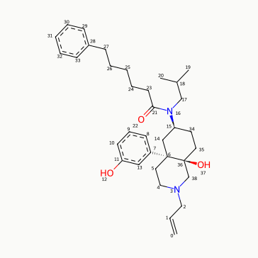 C=CCN1CC[C@@]2(c3cccc(O)c3)C[C@@H](N(CC(C)C)C(=O)CCCCCc3ccccc3)CC[C@]2(O)C1